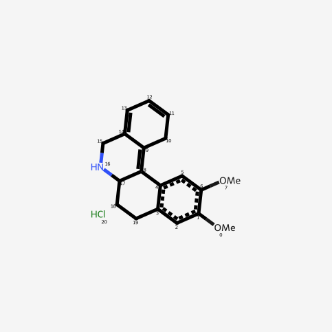 COc1cc2c(cc1OC)C1=C3CC=CC=C3CNC1CC2.Cl